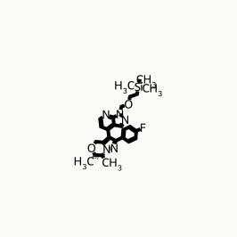 CC1[C@H](C)OCc2c(-c3ccnc4c3cnn4COCC[Si](C)(C)C)c(-c3ccc(F)cc3)nn21